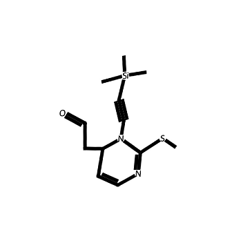 CSC1=NC=CC(CC=O)N1C#C[Si](C)(C)C